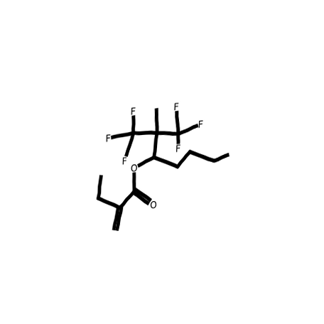 C=C(CC)C(=O)OC(CCCC)C(C)(C(F)(F)F)C(F)(F)F